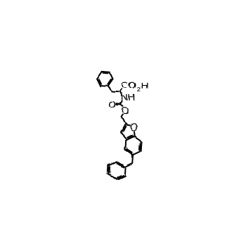 O=C(NC(Cc1ccccc1)C(=O)O)OCc1cc2cc(Cc3ccccc3)ccc2o1